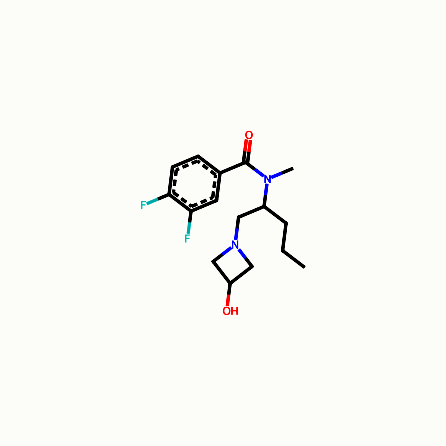 CCCC(CN1CC(O)C1)N(C)C(=O)c1ccc(F)c(F)c1